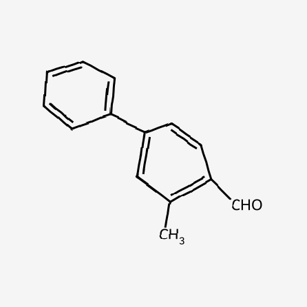 Cc1cc(-c2ccccc2)ccc1C=O